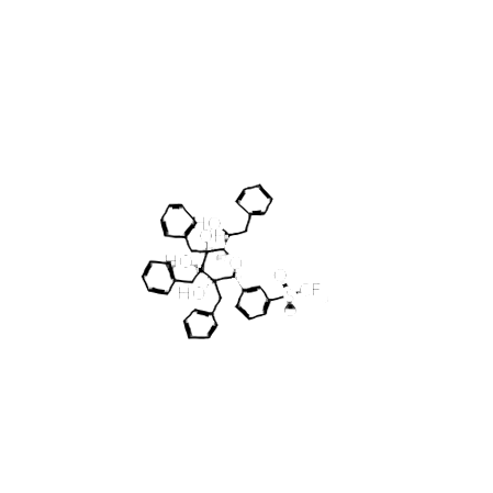 O=S(=O)(c1cccc([C@@H]2O[C@H](C(O)Cc3ccccc3)[C@](O)(Cc3ccccc3)[C@@](O)(Cc3ccccc3)[C@]2(O)Cc2ccccc2)c1)C(F)(F)F